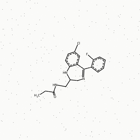 CCC(=O)NCC1CN=C(c2ccccc2F)c2cc(Cl)ccc2N1